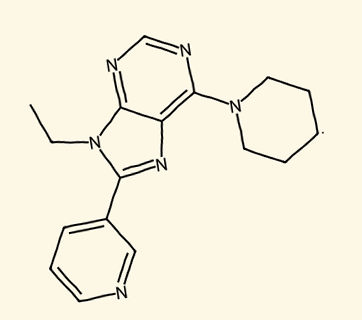 CCn1c(-c2cccnc2)nc2c(N3CC[CH]CC3)ncnc21